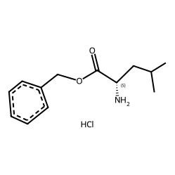 CC(C)C[C@H](N)C(=O)OCc1ccccc1.Cl